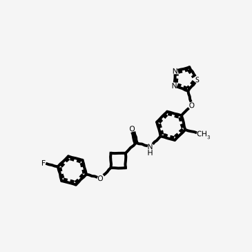 Cc1cc(NC(=O)C2CC(Oc3ccc(F)cc3)C2)ccc1Oc1nncs1